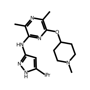 Cc1nc(C)c(OC2CCN(C)CC2)nc1Nc1cc(C(C)C)[nH]n1